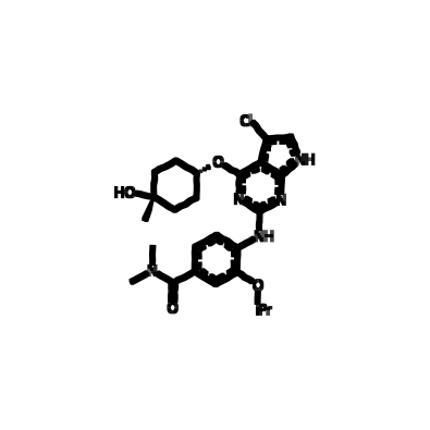 CC(C)Oc1cc(C(=O)N(C)C)ccc1Nc1nc(O[C@H]2CC[C@@](C)(O)CC2)c2c(Cl)c[nH]c2n1